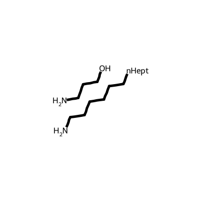 CCCCCCCCCCCCCN.NCCCO